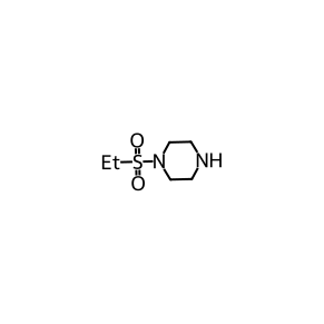 [CH2]CS(=O)(=O)N1CCNCC1